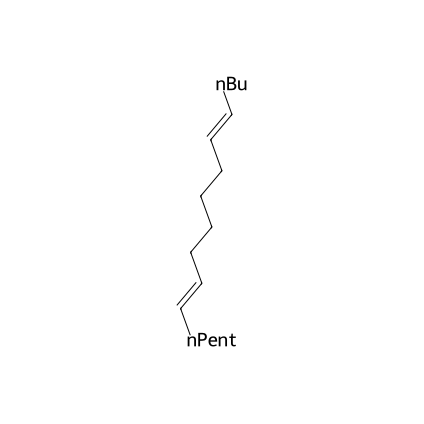 [CH2]CCCC=CCCCCC=CCCCCC